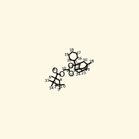 CC(C)(C)CC(C)(C(=O)OCC(=O)OC1(C2CCCCC2)C2CC3CC1CC(C)(C3)C2)C(C)(C)C